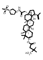 C=C(C)[C@@H]1CC[C@]2(CC(=O)N[C@@H]3CCN(S(C)(=O)=O)C3)CC[C@]3(C)[C@H](CC[C@@H]4[C@@]5(C)CC[C@H](OC(=O)CC(C)(C)C(=O)O)C(C)(C)[C@@H]5CC[C@]43C)[C@@H]12